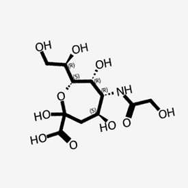 O=C(CO)N[C@H]1[C@@H](O)[C@@H]([C@H](O)CO)OC(O)(C(=O)O)C[C@@H]1O